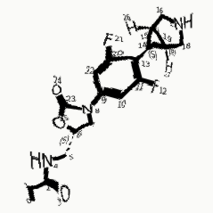 CCC(=O)NC[C@H]1CN(c2cc(F)c([C@H]3[C@@H]4CNC[C@@H]43)c(F)c2)C(=O)O1